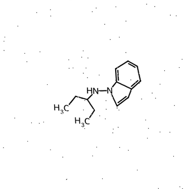 CCC(CC)Nn1[c]cc2ccccc21